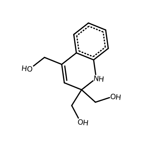 OCC1=CC(CO)(CO)Nc2ccccc21